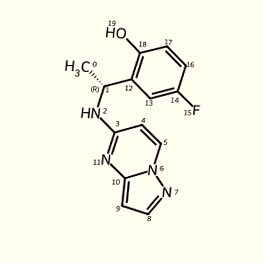 C[C@@H](Nc1ccn2nccc2n1)c1cc(F)ccc1O